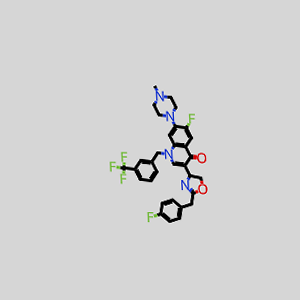 CN1CCN(c2cc3c(cc2F)c(=O)c(C2COC(Cc4ccc(F)cc4)=N2)cn3Cc2cccc(C(F)(F)F)c2)CC1